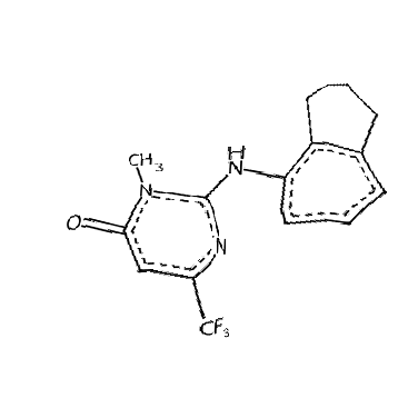 Cn1c(Nc2cccc3c2CCC3)nc(C(F)(F)F)cc1=O